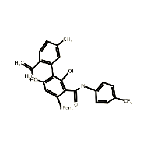 C=C(C)c1ccc(C)cc1-c1c(O)cc(CCCCC)c(C(=O)Nc2ccc(C(F)(F)F)cc2)c1O